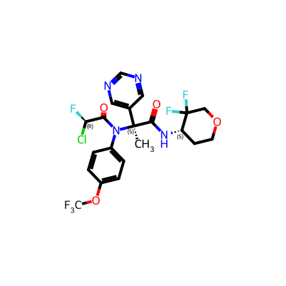 C[C@@](C(=O)N[C@H]1CCOCC1(F)F)(c1cncnc1)N(C(=O)[C@H](F)Cl)c1ccc(OC(F)(F)F)cc1